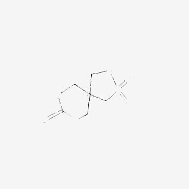 O=C1OCC2(CO1)COS(=O)(=O)C2